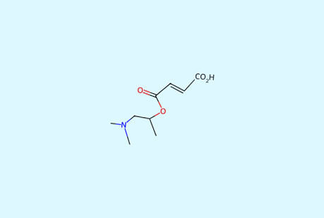 CC(CN(C)C)OC(=O)C=CC(=O)O